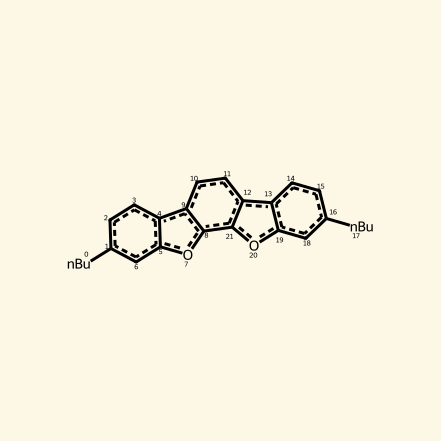 CCCCc1ccc2c(c1)oc1c2ccc2c3ccc(CCCC)cc3oc21